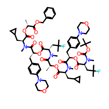 C[C@@H](OC(=O)[C@H](CC1CC1)N(C)C(=O)[C@@H](Cc1ccc(N2CCOCC2)cc1)OC(=O)[C@H](CC(C)(C)F)N(C)C(=O)[C@@H](C)OC(=O)[C@H](CC1CC1)N(C)C(=O)[C@@H](Cc1ccc(N2CCOCC2)cc1)OC(=O)[C@H](CC(C)(C)F)N(C)C(=O)OC(C)(C)C)C(=O)OCc1ccccc1